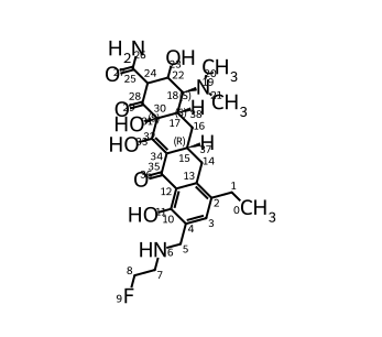 CCc1cc(CNCCF)c(O)c2c1C[C@H]1C[C@H]3[C@H](N(C)C)C(O)C(C(N)=O)C(=O)[C@@]3(O)C(O)=C1C2=O